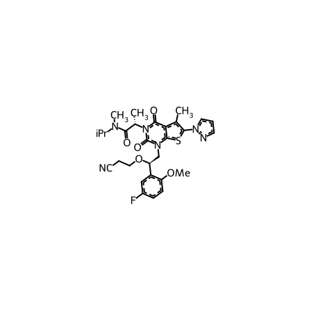 COc1ccc(F)cc1[C@H](Cn1c(=O)n([C@@H](C)C(=O)N(C)C(C)C)c(=O)c2c(C)c(-n3cccn3)sc21)OCCC#N